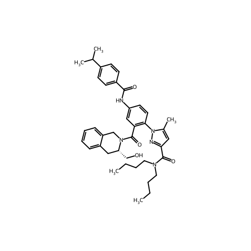 CCCCN(CCCC)C(=O)c1cc(C)n(-c2ccc(NC(=O)c3ccc(C(C)C)cc3)cc2C(=O)N2Cc3ccccc3C[C@H]2CO)n1